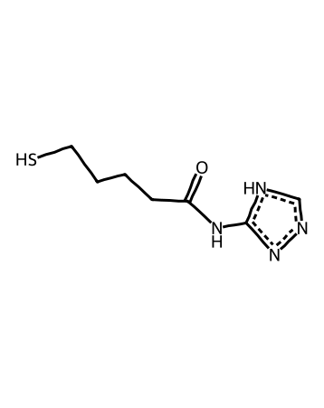 O=C(CCCCS)Nc1nnc[nH]1